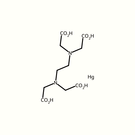 O=C(O)CN(CCN(CC(=O)O)CC(=O)O)CC(=O)O.[Hg]